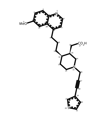 COc1ccc2nccc(CCC[C@@H]3CCN(CC#Cc4ccsc4)C[C@@H]3CC(=O)O)c2c1